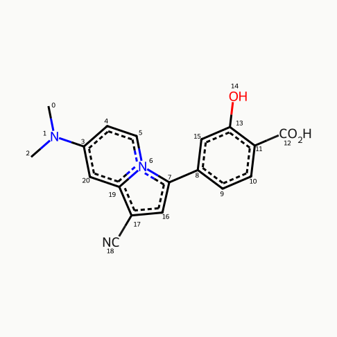 CN(C)c1ccn2c(-c3ccc(C(=O)O)c(O)c3)cc(C#N)c2c1